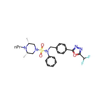 CCCN1[C@H](C)CN(S(=O)(=O)N(Cc2ccc(-c3nnc(C(F)F)o3)cc2)c2ccccc2)C[C@@H]1C